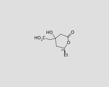 CC[C@H]1CC(O)(CC(=O)O)CC(=O)O1